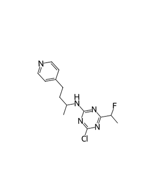 CC(CCc1ccncc1)Nc1nc(Cl)nc(C(C)F)n1